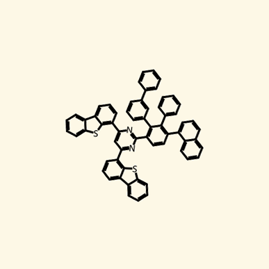 c1ccc(-c2cccc(-c3c(-c4nc(-c5cccc6c5sc5ccccc56)cc(-c5cccc6c5sc5ccccc56)n4)ccc(-c4cccc5ccccc45)c3-c3ccccc3)c2)cc1